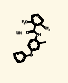 Cc1cc(Oc2ccccc2)ccc1PC(=O)c1c(C(F)(F)F)cccc1C(F)(F)F.[LiH]